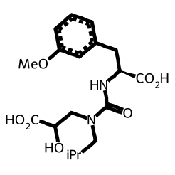 COc1cccc(C[C@H](NC(=O)N(CC(C)C)CC(O)C(=O)O)C(=O)O)c1